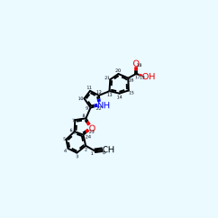 C#Cc1cccc2cc(-c3ccc(-c4ccc(C(=O)O)cc4)[nH]3)oc12